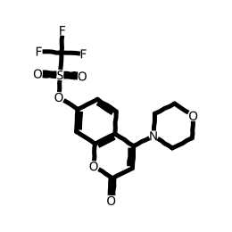 O=c1cc(N2CCOCC2)c2ccc(OS(=O)(=O)C(F)(F)F)cc2o1